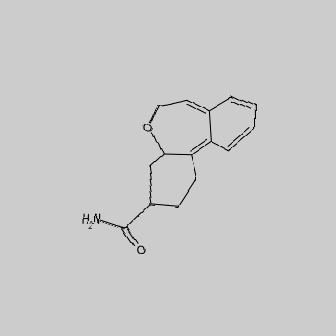 NC(=O)C1CCC2=c3ccccc3=CCOC2C1